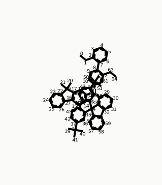 CCc1ccccc1-c1ccc(N(c2ccc3c(c2)C(C)(C)c2ccccc2-3)c2cccc3c2C2(c4cc(C(C)(C)C)ccc4-c4ccc(C(C)(C)C)cc42)c2ccccc2-3)cc1CC